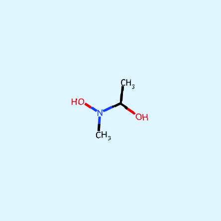 CC(O)N(C)O